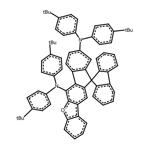 CC(C)(C)c1ccc(N(c2ccc(C(C)(C)C)cc2)c2ccc3c(c2)C2(c4ccccc4-c4ccccc42)c2cc4c(oc5ccccc54)c(N(c4ccc(C(C)(C)C)cc4)c4ccc(C(C)(C)C)cc4)c2-3)cc1